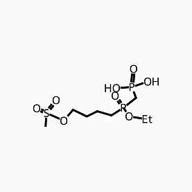 CCOP(=O)(CCCCOS(C)(=O)=O)CP(=O)(O)O